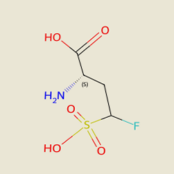 N[C@@H](CC(F)S(=O)(=O)O)C(=O)O